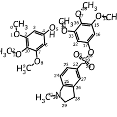 COc1cc(O)cc(OC)c1OC.COc1cc(OS(=O)(=O)c2ccc3c(c2)CCN3C)cc(OC)c1OC